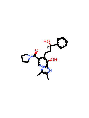 Cc1nc2c(O)c(CC[C@@H](O)c3ccccc3)c(C(=O)N3CCCC3)cn2c1C